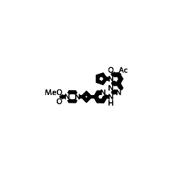 COC(=O)N1CCN(C2CC(c3ccc(Nc4ncc5cc(C(C)=O)c(=O)n(C6CCCC6)c5n4)nc3)C2)CC1